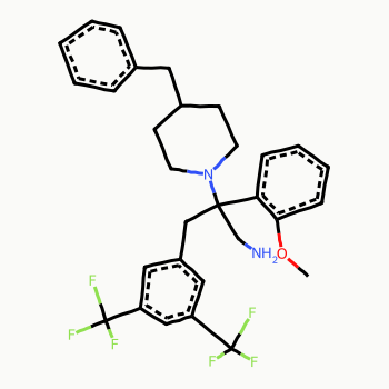 COc1ccccc1C(CN)(Cc1cc(C(F)(F)F)cc(C(F)(F)F)c1)N1CCC(Cc2ccccc2)CC1